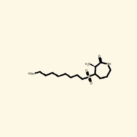 CCCCCCCCCCCCCCCCCCS(=O)(=O)C1CCCNC(=O)[C@@H]1N